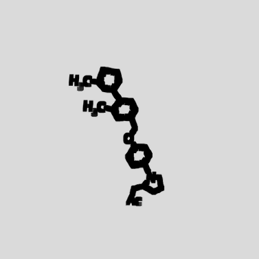 CC(=O)CC1CCCN1c1ccc(OCc2ccc(-c3cccc(C)c3)c(C)c2)cc1